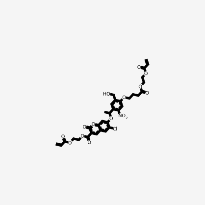 C=CC(=O)OCCOC(=O)CCCOc1cc([N+](=O)[O-])c(C(C)Oc2cc3oc(=O)c(C(=O)OCCOC(=O)C=C)cc3cc2Cl)cc1CO